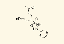 CCCCCCCCCCCC(CCC(C)Cl)S(=O)(=O)NNc1ccccc1